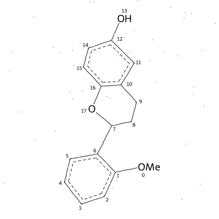 COc1ccccc1C1CCc2cc(O)ccc2O1